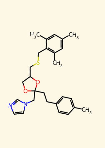 Cc1ccc(CCC2(Cn3ccnc3)OCC(CSCc3c(C)cc(C)cc3C)O2)cc1